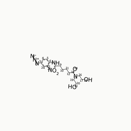 [N-]=[N+]=Nc1ccc(NCCCCCC(=O)N(CCO)CCO)c([N+](=O)[O-])c1